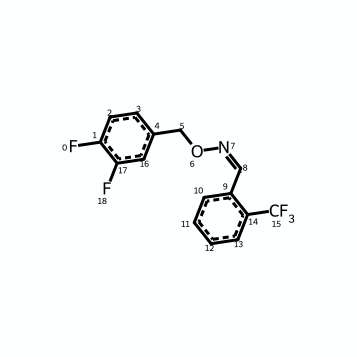 Fc1ccc(CO/N=[C]\c2ccccc2C(F)(F)F)cc1F